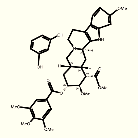 COC(=O)[C@H]1[C@H]2C[C@@H]3c4[nH]c5cc(OC)ccc5c4CCN3C[C@H]2C[C@@H](OC(=O)c2cc(OC)c(OC)c(OC)c2)[C@@H]1OC.Oc1cccc(O)c1